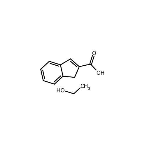 CCO.O=C(O)C1=Cc2ccccc2C1